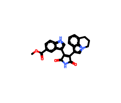 COC(=O)c1ccc2[nH]cc(C3=C(c4cn5c6c(cccc46)CCC5)C(=O)NC3=O)c2c1